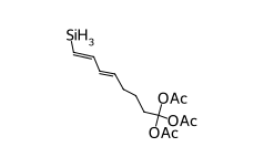 CC(=O)OC(CCCC=CC=C[SiH3])(OC(C)=O)OC(C)=O